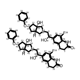 O=C1CCc2cc([C@@H](O)CN3C[C@H]4C[C@H](Oc5ccccc5)C[C@@]4(O)C3)cc(F)c2N1.O=C1CCc2cc([C@H](O)CN3C[C@H]4C[C@H](Oc5ccccc5)C[C@@]4(O)C3)cc(F)c2N1